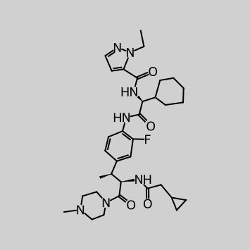 CCn1nccc1C(=O)N[C@H](C(=O)Nc1ccc([C@H](C)[C@@H](NC(=O)CC2CC2)C(=O)N2CCN(C)CC2)cc1F)C1CCCCC1